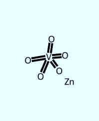 [O]=[V](=[O])(=[O])(=[O])=[O].[Zn]